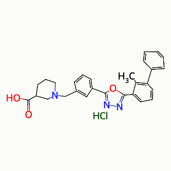 Cc1c(-c2ccccc2)cccc1-c1nnc(-c2cccc(CN3CCCC(C(=O)O)C3)c2)o1.Cl